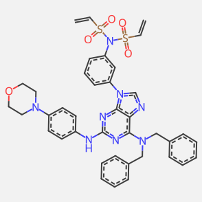 C=CS(=O)(=O)N(c1cccc(-n2cnc3c(N(Cc4ccccc4)Cc4ccccc4)nc(Nc4ccc(N5CCOCC5)cc4)nc32)c1)S(=O)(=O)C=C